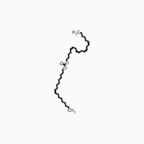 CCCCC/C=C\C/C=C\C/C=C\C/C=C\CCCCOC(=O)OCCCCCCCC/C=C\CCCCCCCC